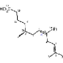 CC(C)=CC/C(=C\C[C@@H](C)CCCC(=O)O)C(C)C